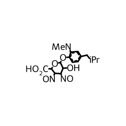 CNc1cc(CC(C)C)ccc1OC1OC(C(=O)O)C(N=O)C(N=O)C1O